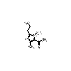 CCCc1nc(C)c(C(N)=O)n1N